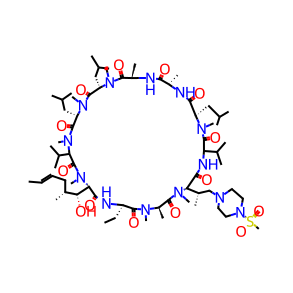 C/C=C/C[C@@H](C)[C@@H](O)[C@H]1C(=O)N[C@@H](CC)C(=O)N(C)[C@H](C)C(=O)N(C)[C@@H]([C@@H](C)CN2CCN(S(C)(=O)=O)CC2)C(=O)NC(C(C)C)C(=O)N(C)[C@@H](CC(C)C)C(=O)N[C@@H](C)C(=O)N[C@H](C)C(=O)N(C)[C@@H](CC(C)C)C(=O)N(C)[C@@H](CC(C)C)C(=O)N(C)C(C(C)C)C(=O)N1C